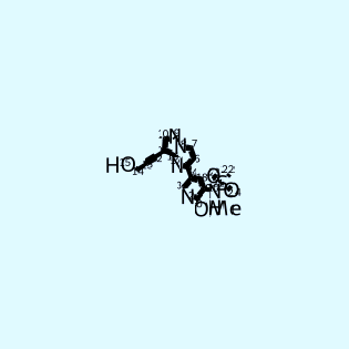 COc1ncc(-c2ccn3ncc(C#CCO)c3n2)cc1NS(C)(=O)=O